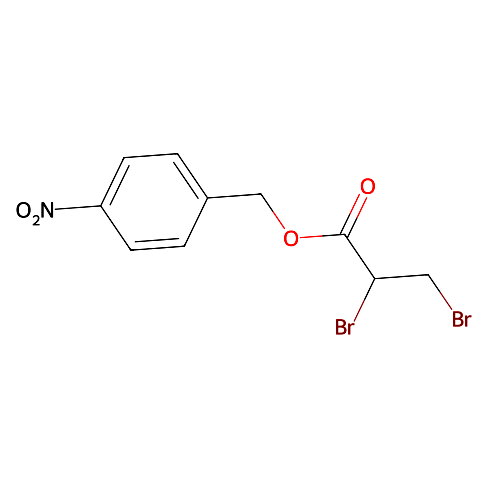 O=C(OCc1ccc([N+](=O)[O-])cc1)C(Br)CBr